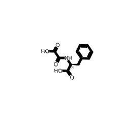 O=C(O)C(=O)N[C@@H](Cc1ccccc1)C(=O)O